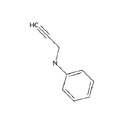 C#CC[N]c1ccccc1